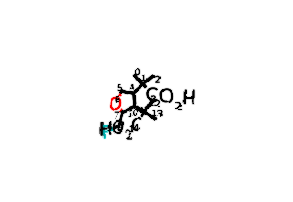 CC(C)(C(=O)O)C1COC(CF)C1C(C)(C)C(=O)O